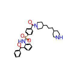 O=C(c1ccccc1)c1ccccc1NS(=O)(=O)c1ccc(C(=O)N2CCC(CCCC3CCNCC3)CC2)cc1